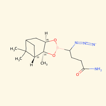 CC1(C)C2C[C@H]3OB(C(CCC(N)=O)N=[N+]=[N-])O[C@@]3(C)[C@H]1C2